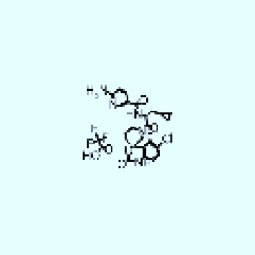 Nc1ccc(C(=O)N[C@@H](CC2CC2)C(=O)N2CCC[C@@]3(C2)OC(=O)Nc2ccc(Cl)c(F)c23)cn1.O=C(O)C(F)(F)F